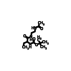 CCC(NC(=O)OC(C)(C)C)C(=O)NCCNC(C)=O